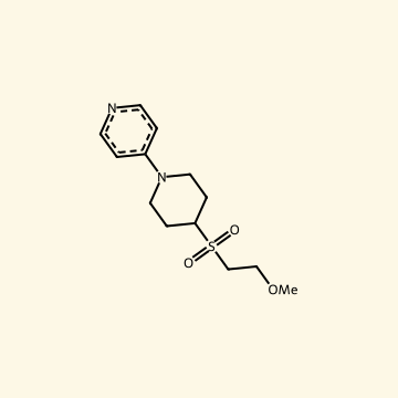 COCCS(=O)(=O)C1CCN(c2ccncc2)CC1